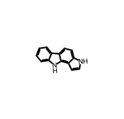 c1ccc2c(c1)[nH]c1c3cc[nH]c3ccc21